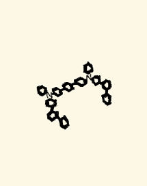 c1ccc(-c2cccc(-c3ccc(N(c4ccccc4)c4ccc(-c5ccc(-c6ccc(N(c7ccccc7)c7ccc(-c8cccc(-c9ccccc9)c8)cc7)cc6)cc5)cc4)cc3)c2)cc1